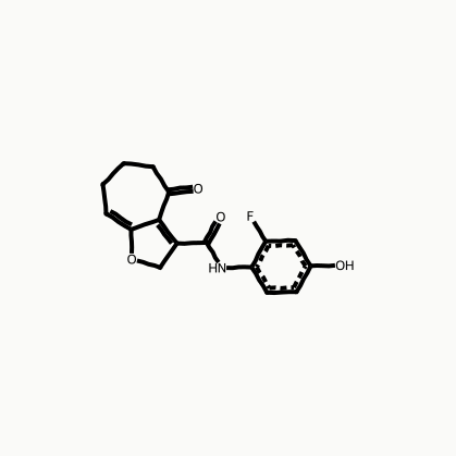 O=C1CCCC=C2OCC(C(=O)Nc3ccc(O)cc3F)=C12